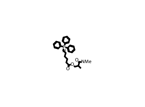 CNC(=O)C(C)COC(=O)CCCCC[PH](c1ccccc1)(c1ccccc1)c1ccccc1